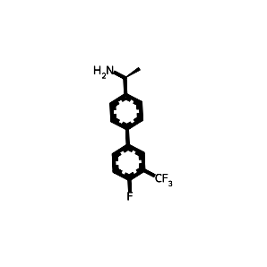 C[C@H](N)c1ccc(-c2ccc(F)c(C(F)(F)F)c2)cc1